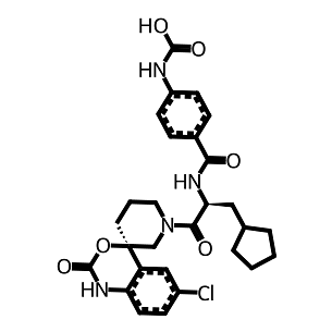 O=C(O)Nc1ccc(C(=O)N[C@@H](CC2CCCC2)C(=O)N2CCC[C@@]3(C2)OC(=O)Nc2ccc(Cl)cc23)cc1